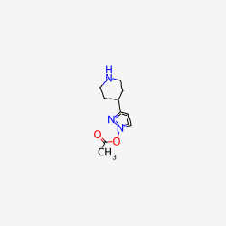 CC(=O)On1ccc(C2CCNCC2)n1